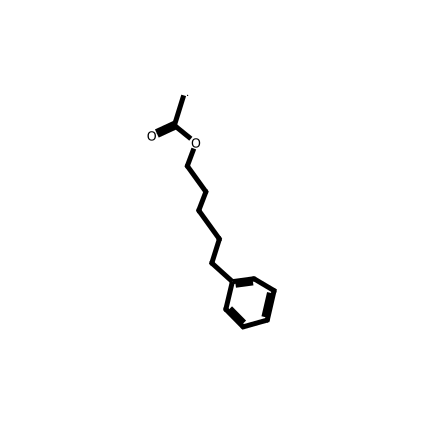 [CH2]C(=O)OCCCCCc1ccccc1